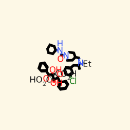 CCN(CC1CCN(C(=O)NC2CCCCC2)CC1)C(C)Cc1cccc(Cl)c1.O=C(O)C(O)(C(=O)c1ccccc1)C(O)(C(=O)O)C(=O)c1ccccc1